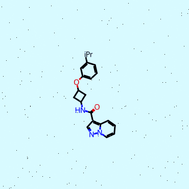 CC(C)c1cccc(OC2CC(NC(=O)c3cnn4ccccc34)C2)c1